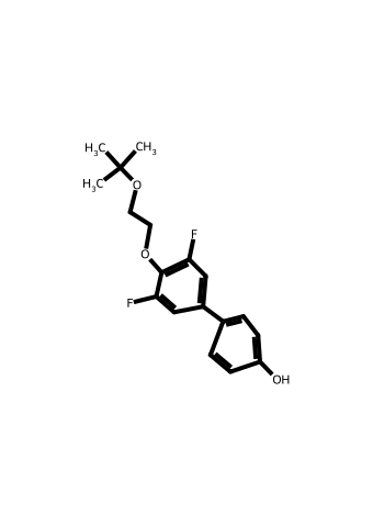 CC(C)(C)OCCOc1c(F)cc(-c2ccc(O)cc2)cc1F